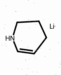 C1=CNCCC1.[Li]